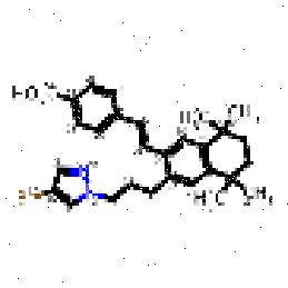 CC1(C)CCC(C)(C)c2cc(CCCn3cc(Br)cn3)c(C=Cc3ccc(C(=O)O)cc3)cc21